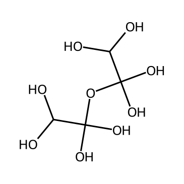 OC(O)C(O)(O)OC(O)(O)C(O)O